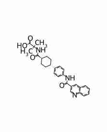 CC(C)(NC(=O)[C@H]1CC[C@H](c2ccc(NC(=O)c3cnc4ccccc4c3)cc2)CC1)C(=O)O